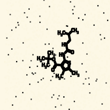 Cc1sc(NC(=O)NCC(C)C)c(C(=O)OC(C)(C)C)c1C